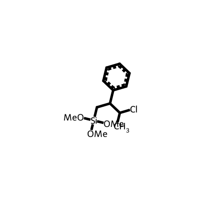 CO[Si](CC(c1ccccc1)C(C)Cl)(OC)OC